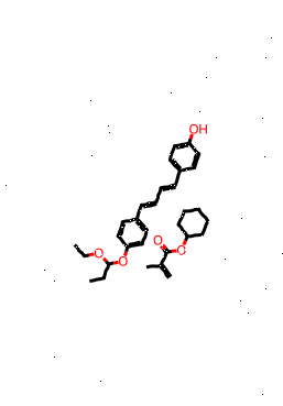 C=C(C)C(=O)OC1CCCCC1.CCOC(CC)Oc1ccc(C=CC=Cc2ccc(O)cc2)cc1